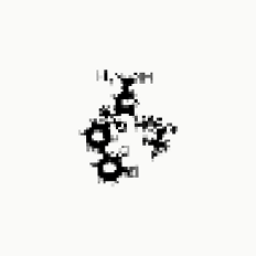 CSc1sc(C(=N)N)cc1S(=O)(=O)c1cccc(-c2cccc(Cl)c2Cl)c1.O=C(O)C(F)(F)F